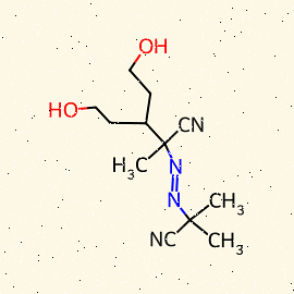 CC(C)(C#N)N=NC(C)(C#N)C(CCO)CCO